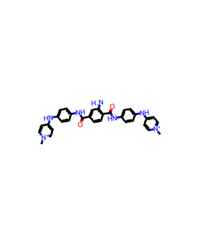 C[n+]1ccc(Nc2ccc(NC(=O)c3ccc(C(=O)Nc4ccc(Nc5cc[n+](C)cc5)cc4)c(N)c3)cc2)cc1